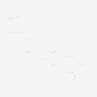 CC1=Cc2cnc(Nc3ccc(N4CCNCC4)cc3)nc2N(C(C)C)S1(=O)=O